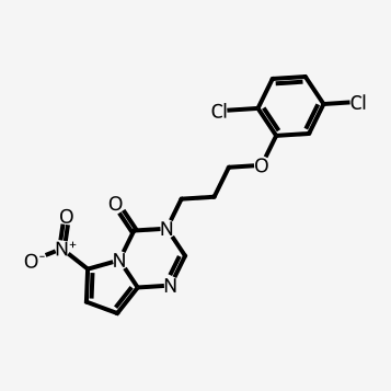 O=c1n(CCCOc2cc(Cl)ccc2Cl)cnc2ccc([N+](=O)[O-])n12